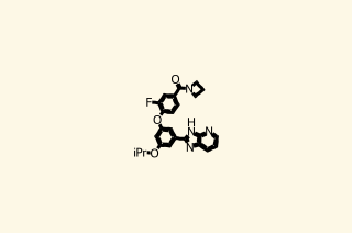 CC(C)Oc1cc(Oc2ccc(C(=O)N3CCC3)cc2F)cc(-c2nc3cccnc3[nH]2)c1